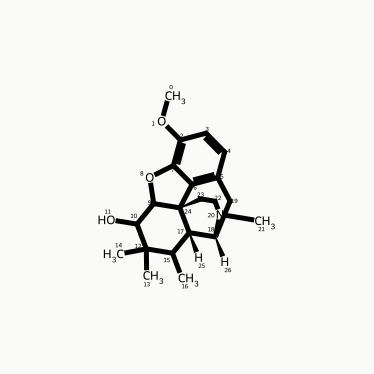 COc1ccc2c3c1OC1C(O)C(C)(C)C(C)[C@H]4[C@@H](C2)N(C)CC[C@]314